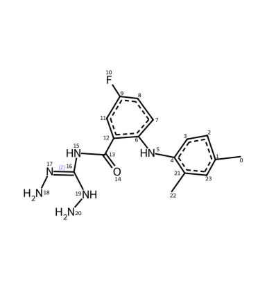 Cc1ccc(Nc2ccc(F)cc2C(=O)N/C(=N/N)NN)c(C)c1